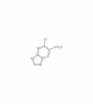 O=C(O)c1cc2ncnn2nc1Cl